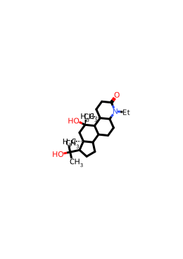 CCN1C(=O)CC[C@@]2(C)C1CCC1C3CCC(C(C)(C)O)[C@@]3(C)C[C@](C)(O)C12